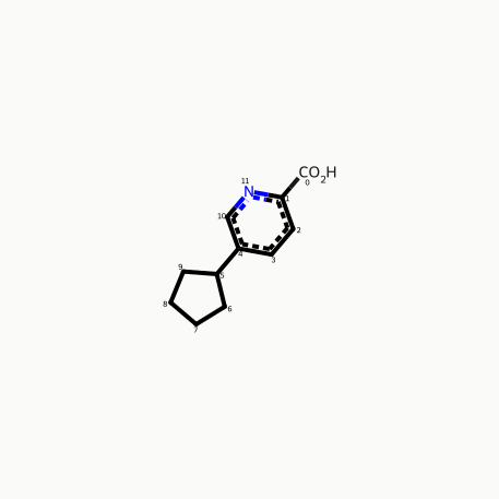 O=C(O)c1ccc(C2CCCC2)cn1